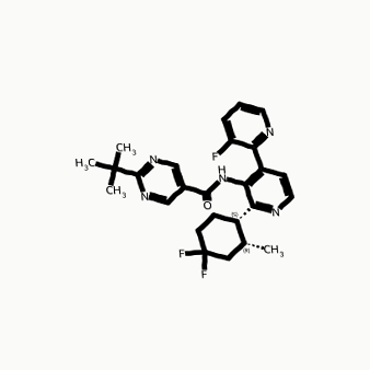 C[C@@H]1CC(F)(F)CC[C@@H]1c1nccc(-c2ncccc2F)c1NC(=O)c1cnc(C(C)(C)C)nc1